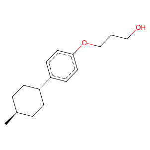 C[C@H]1CC[C@H](c2ccc(OCCCO)cc2)CC1